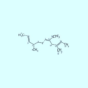 CC=CC(C)C[CH]C=C(C)CC(C)=CC